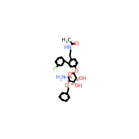 CC(=O)NCCc1ccc(O[C@@H]2O[C@@H](N)[C@H](OCc3ccccc3)[C@@H](O)[C@H]2O)cc1-c1cccc(F)c1